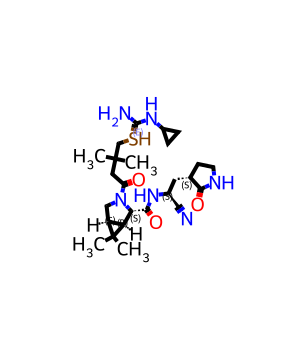 CC(C)(C/[SH]=C(\N)NC1CC1)CC(=O)N1C[C@H]2[C@@H]([C@H]1C(=O)N[C@H](C#N)C[C@@H]1CCNC1=O)C2(C)C